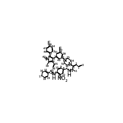 C=C/C=C(\C(C)NCc1ccc(NSC2=CCCC=C2)c([N+](=O)[O-])c1)N1CCN(c2cc(F)cc(-c3c(C=C)c(C)n(C)c3-c3ccc(F)cc3)c2)CC1